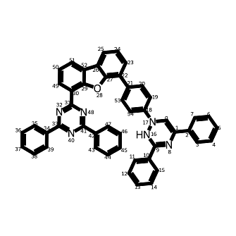 C1=C(c2ccccc2)N=C(c2ccccc2)NN1c1ccc(-c2cccc3c2oc2c(-c4nc(-c5ccccc5)nc(-c5ccccc5)n4)cccc23)cc1